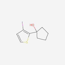 OC1(c2sccc2I)CCCC1